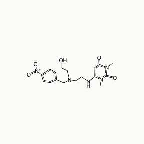 Cn1c(NCCN(CCO)Cc2ccc([N+](=O)[O-])cc2)cc(=O)n(C)c1=O